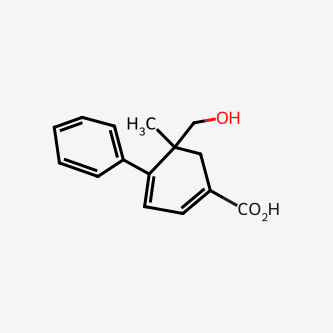 CC1(CO)CC(C(=O)O)=CC=C1c1ccccc1